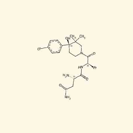 CC(C)[C@@H](NC(=O)[C@@H](N)CC(N)=O)C(=O)N1CC[C@](O)(c2ccc(Cl)cc2)C(C)(C)C1